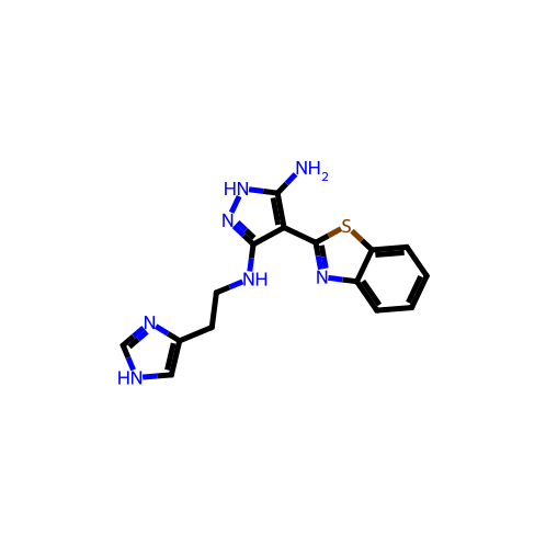 Nc1[nH]nc(NCCc2c[nH]cn2)c1-c1nc2ccccc2s1